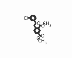 COC(=O)c1ccc(CCc2cccc(Cl)c2)c(C(=O)OC)c1